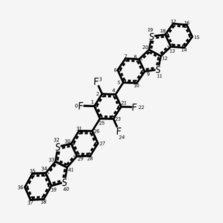 Fc1c(F)c(-c2ccc3c(c2)sc2c4ccccc4sc32)c(F)c(F)c1-c1ccc2c(c1)sc1c3ccccc3sc21